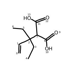 C=CC(CC)(CC)C(C(=O)O)C(=O)O